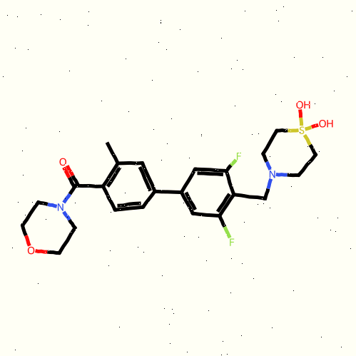 Cc1cc(-c2cc(F)c(CN3CCS(O)(O)CC3)c(F)c2)ccc1C(=O)N1CCOCC1